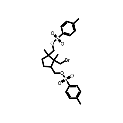 Cc1ccc(S(=O)(=O)OCC2CCC(C)(COS(=O)(=O)c3ccc(C)cc3)C2(C)CBr)cc1